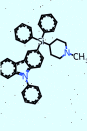 CN1CCC([Si](c2ccccc2)(c2ccccc2)c2ccc3c(c2)c2ccccc2n3-c2ccccc2)CC1